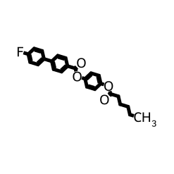 CCCCCC(=O)Oc1ccc(OC(=O)c2ccc(-c3ccc(F)cc3)cc2)cc1